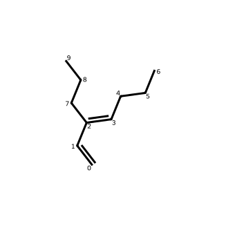 C=CC(=CCCC)CCC